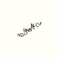 OCc1ccc(NSc2cnc(-c3ccc(F)cc3)s2)cc1